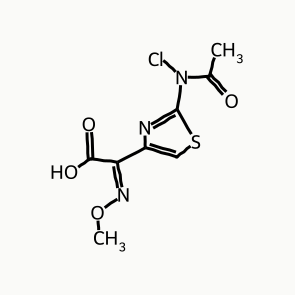 CON=C(C(=O)O)c1csc(N(Cl)C(C)=O)n1